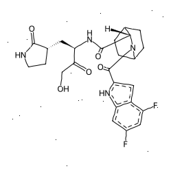 O=C1NCC[C@H]1C[C@@H](NC(=O)[C@@H]1C2CCC(CC2)N1C(=O)c1cc2c(F)cc(F)cc2[nH]1)C(=O)CO